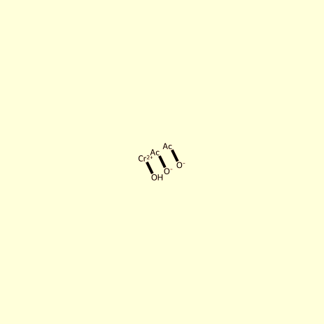 CC(=O)[O-].CC(=O)[O-].[OH][Cr+2]